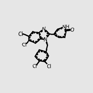 O=c1ccc(-c2nc3cc(Cl)c(Cl)cc3n2Cc2ccc(Cl)c(Cl)c2)c[nH]1